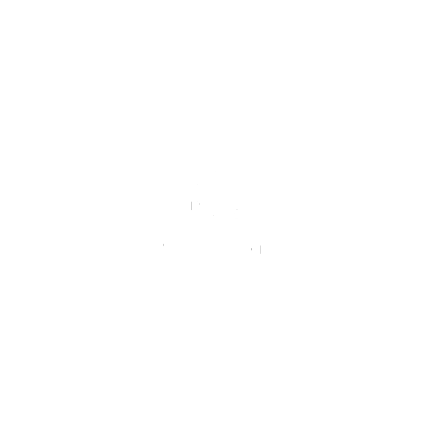 Cc1cccc(Cl)c1C(=S)PC1CCCC1